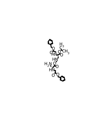 CC(C)OC(=O)[C@@H](CNCOC(=O)[C@@H](CN)NCC(=O)OCc1ccccc1)NCC(=O)OCc1ccccc1